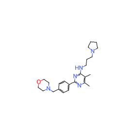 Cc1nc(-c2ccc(CN3CCOCC3)cc2)nc(NCCCN2CCCC2)c1C